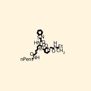 C=C(CC)NC(=O)Cn1cccc(NC(=O)C(CC/C=C/C(=O)NCCCCC)NC(=O)c2nc3ccccc3s2)c1=O